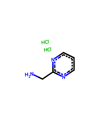 Cl.Cl.NCc1ncccn1